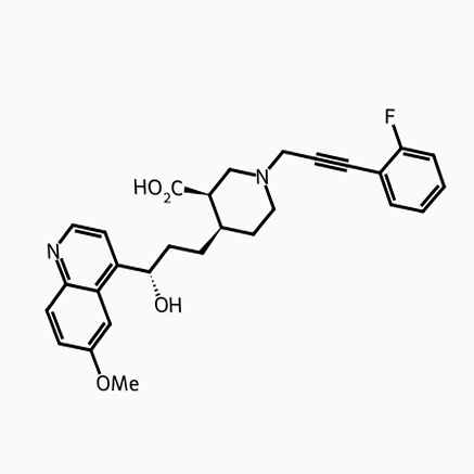 COc1ccc2nccc([C@@H](O)CC[C@@H]3CCN(CC#Cc4ccccc4F)C[C@@H]3C(=O)O)c2c1